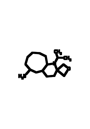 BC1CCCCCC2C(CCC3(COC3)N2C(C)C)C1